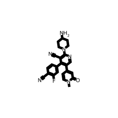 Cn1ccc(-c2cnc(N3CCC(N)CC3)c(C#N)c2-c2ccc(C#N)c(F)c2)cc1=O